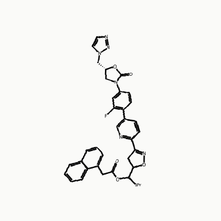 CC(C)C(OC(=O)Cc1cccc2ccccc12)C1CC(c2ccc(-c3ccc(N4C[C@H](Cn5ccnn5)OC4=O)cc3F)cn2)=NO1